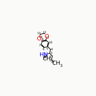 CCCC(Cc1ccc2c(c1)OCCO2)NC